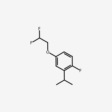 CC(C)c1cc(OCC(F)F)ccc1F